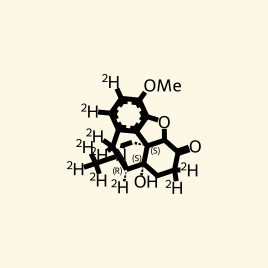 [2H]c1c([2H])c2c3c(c1OC)OC1C(=O)C([2H])([2H])C[C@]4(O)[C@@]31CCN(C([2H])([2H])[2H])[C@]4([2H])C2([2H])[2H]